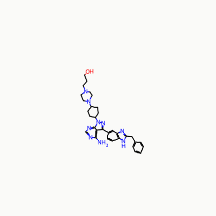 Nc1ncnc2c1c(-c1ccc3[nH]c(Cc4ccccc4)nc3c1)nn2C1CCC(N2CCN(CCCO)CC2)CC1